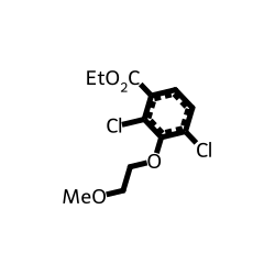 CCOC(=O)c1ccc(Cl)c(OCCOC)c1Cl